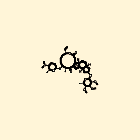 CC[C@H]1CCC[C@H](O[C@H]2CC[C@H](N(C)C)[C@@H](C)O2)[C@@H](C)C(=O)C2=C[C@@H]3[C@@H](C=C[C@@H]4C[C@@H](OC5O[C@@H](C)[C@H](OC)[C@@H](OC)[C@H]5OC)C[C@@H]34)[C@@H]2CC(=O)O1